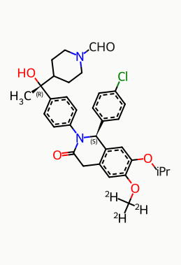 [2H]C([2H])([2H])Oc1cc2c(cc1OC(C)C)[C@H](c1ccc(Cl)cc1)N(c1ccc([C@](C)(O)C3CCN(C=O)CC3)cc1)C(=O)C2